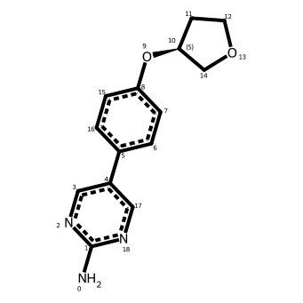 Nc1ncc(-c2ccc(O[C@H]3CCOC3)cc2)cn1